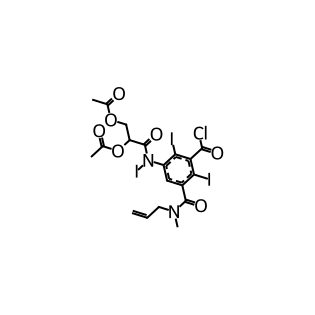 C=CCN(C)C(=O)c1cc(N(I)C(=O)C(COC(C)=O)OC(C)=O)c(I)c(C(=O)Cl)c1I